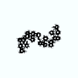 Cc1ccccc1N(c1cc2c3cc(N(c4ccccc4C)c4cccc5c4oc4c(CCc6cccc7c6oc6c(N(c8ccccc8)c8cc9c%10cc(N(c%11ccccc%11)c%11cccc%12c%11oc%11c(C)cccc%11%12)c%11ccccc%11c%10oc9c9ccccc89)cccc67)cccc45)c4ccccc4c3oc2c2ccccc12)c1cccc2c1oc1c(C)cccc12